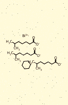 C1CCCCC1.CC(C)CCCCC(=O)[O-].CC(C)CCCCC(=O)[O-].CC(C)CCCCC(=O)[O-].[Bi+3]